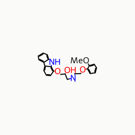 COc1ccccc1OCCN(C)CC(O)COc1cccc2c1[nH]c1ccccc12